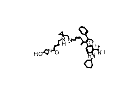 C=C(/C=C\CN(C)CC1(NC/C=C/C(=O)N2CC(O)C2)CC1)/C(=C(/CC(F)(F)F)c1ccccc1)c1ccc(NC2CCCCC2)c(C(=N)F)c1